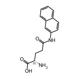 N[C@@H](CCC(=O)Nc1ccc2ccccc2c1)C(=O)O